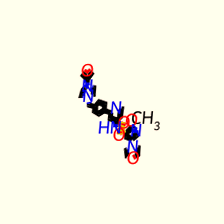 COc1ncc(N2CCOCC2)cc1S(=O)(=O)Nc1ccnc(-c2ccc(CN3CCN(C4COC4)CC3)cc2)c1